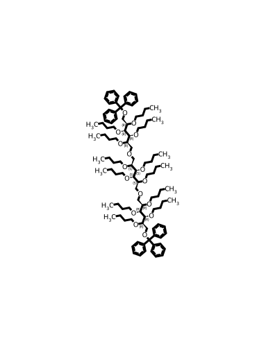 CCCCO[C@H]([C@@H](OCCCC)[C@H](COC[C@@H](OCCCC)[C@@H](OCCCC)[C@H](OCCCC)[C@@H](COC(c1ccccc1)(c1ccccc1)c1ccccc1)OCCCC)OCCCC)[C@H](COC[C@@H](OCCCC)[C@@H](OCCCC)[C@H](OCCCC)[C@@H](COC(c1ccccc1)(c1ccccc1)c1ccccc1)OCCCC)OCCCC